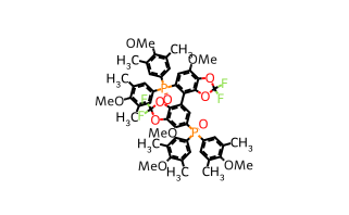 COc1cc(P(=O)(c2cc(C)c(OC)c(C)c2)c2cc(C)c(OC)c(C)c2)c(-c2cc(P(=O)(c3cc(C)c(OC)c(C)c3)c3cc(C)c(OC)c(C)c3)c(OC)c3c2OC(F)(F)O3)c2c1OC(F)(F)O2